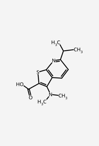 CC(C)c1ccc2c(N(C)C)c(C(=O)O)sc2n1